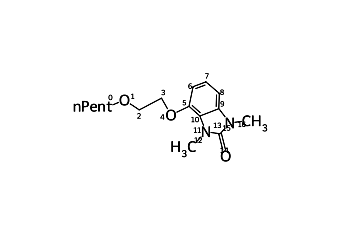 CCCCCOCCOc1cccc2c1n(C)c(=O)n2C